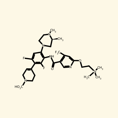 C[C@H]1CN(c2cc(F)c(C3=CCN(C(=O)O)CC3)c(F)c2NC(=O)c2cnc(OCC[Si](C)(C)C)cc2C(F)(F)F)CCN1C